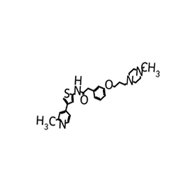 Cc1cc(-c2csc(NC(=O)Cc3cccc(OCCCN4CCN(C)CC4)c3)c2)ccn1